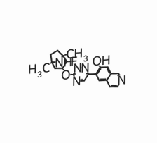 C[C@@]12CC[C@@](C)(N1)[C@H](F)[C@@H](Oc1ncc(-c3cc4ccncc4cc3O)nn1)C2